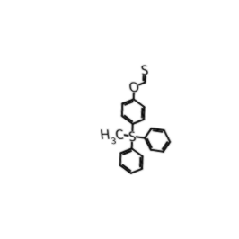 CS(c1ccccc1)(c1ccccc1)c1ccc(OC=S)cc1